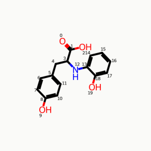 O=C(O)C(Cc1ccc(O)cc1)Nc1ccccc1O